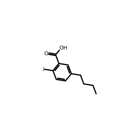 CCCCc1ccc(I)c(C(=O)O)c1